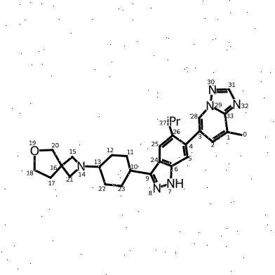 Cc1cc(-c2cc3[nH]nc(C4CCC(N5CC6(CCOC6)C5)CC4)c3cc2C(C)C)cn2ncnc12